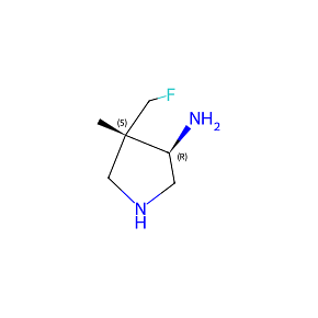 C[C@]1(CF)CNC[C@@H]1N